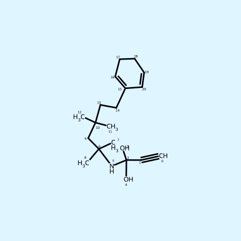 C#CC(O)(O)NC(C)(C)CC(C)(C)CCC1=CCCC=C1